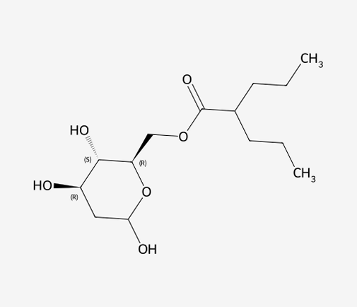 CCCC(CCC)C(=O)OC[C@H]1OC(O)C[C@@H](O)[C@@H]1O